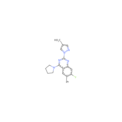 CC(C)c1cc2c(N3CCCC3)nc(-n3cc(C(=O)O)cn3)nc2cc1F